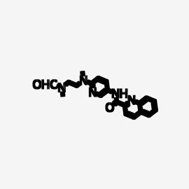 CN(C=O)CCN(C)c1ccc(NC(=O)c2ccc3ccccc3n2)cn1